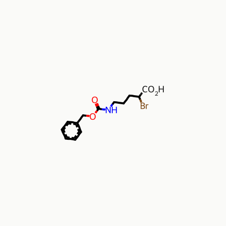 O=C(NCCCC(Br)C(=O)O)OCc1ccccc1